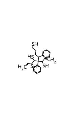 C=CC(S)[C](S)C(c1ccccc1)(C(S)C=C)C(CC[CH]S)c1ccccc1